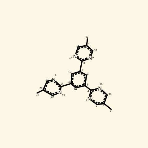 Cc1cnc(-c2cc(-c3ncc(C)cn3)cc(-c3ncc(C)cn3)c2)nc1